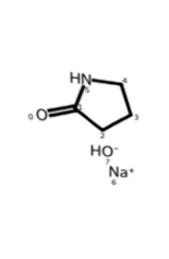 O=C1CCCN1.[Na+].[OH-]